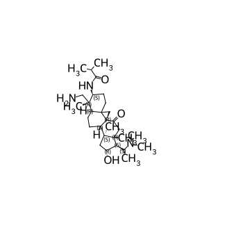 CC(C)C(=O)N[C@H]1CCC23C[C@]24C(=O)C[C@]2(C)[C@@H]([C@H](C)N(C)C)[C@H](O)C[C@@]2(C)[C@@H]4CC[C@H]3[C@]1(C)CN